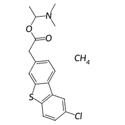 C.CC(OC(=O)Cc1ccc2c(c1)sc1ccc(Cl)cc12)N(C)C